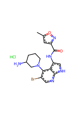 Cc1cc(C(=O)Nc2c[nH]c3ncc(Br)c(N4CCCC(N)C4)c23)no1.Cl